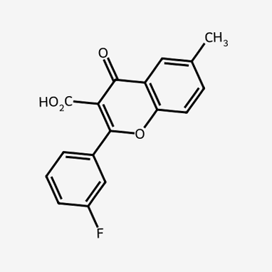 Cc1ccc2oc(-c3cccc(F)c3)c(C(=O)O)c(=O)c2c1